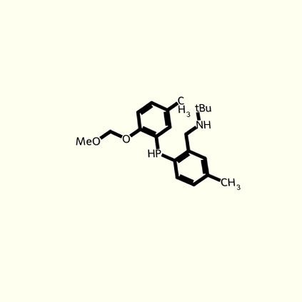 COCOc1ccc(C)cc1Pc1ccc(C)cc1CNC(C)(C)C